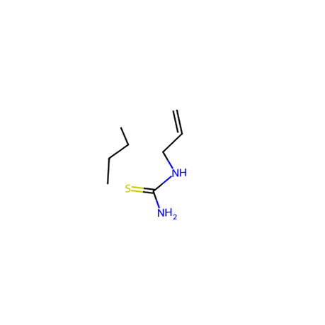 C=CCNC(N)=S.CCCC